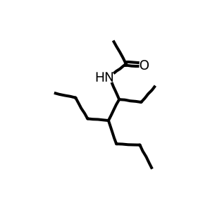 CCCC(CCC)C(CC)NC(C)=O